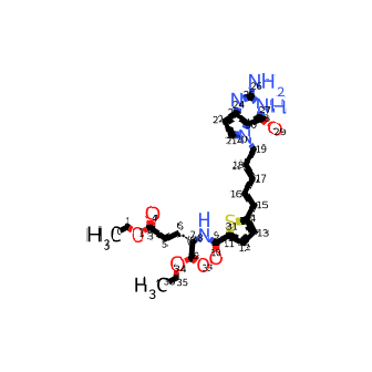 CCOC(=O)CC[C@H](NC(=O)c1ccc(CCCCCn2ccc3nc(N)[nH]c(=O)c32)s1)C(=O)OCC